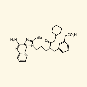 CCCCc1nc2c(N)nc3ccccc3c2n1CCCN(Cc1cccc(CC(=O)O)c1)C(=O)CN1CCCCC1